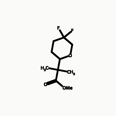 COC(=O)C(C)(C)C1CCC(F)(F)CO1